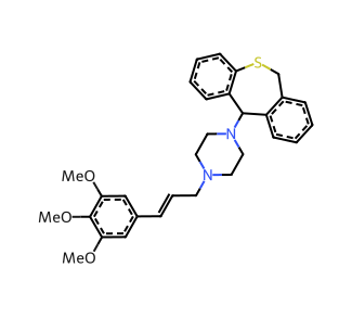 COc1cc(C=CCN2CCN(C3c4ccccc4CSc4ccccc43)CC2)cc(OC)c1OC